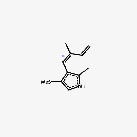 C=C/C(C)=C\c1c(SC)c[nH]c1C